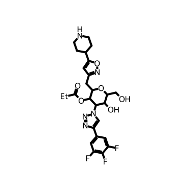 CCC(=O)OC1C(Cc2cc(C3CCNCC3)on2)OC(CO)C(O)C1n1cc(-c2cc(F)c(F)c(F)c2)nn1